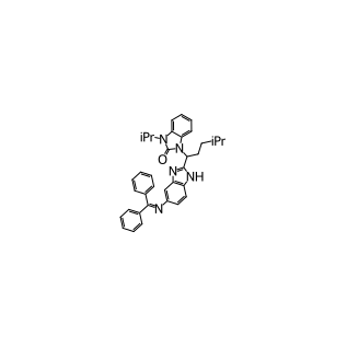 CC(C)CCC(c1nc2cc(N=C(c3ccccc3)c3ccccc3)ccc2[nH]1)n1c(=O)n(C(C)C)c2ccccc21